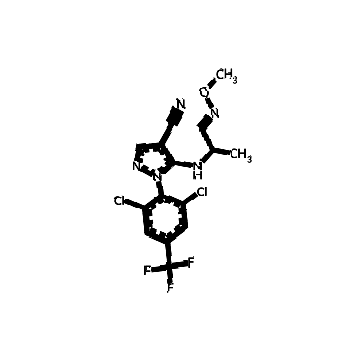 CO/N=C/C(C)Nc1c(C#N)cnn1-c1c(Cl)cc(C(F)(F)F)cc1Cl